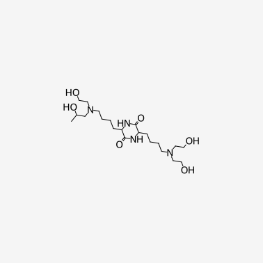 CC(O)CN(CCO)CCCCC1NC(=O)C(CCCCN(CCO)CCO)NC1=O